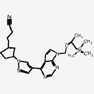 CC(OCn1ccc2c(-c3cnn(C4CCC(CCC#N)C4)c3)ncnc21)[Si](C)(C)C